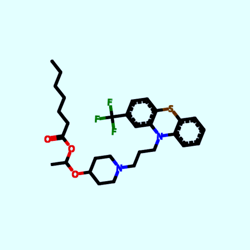 CCCCCCC(=O)OC(C)OC1CCN(CCCN2c3ccccc3Sc3ccc(C(F)(F)F)cc32)CC1